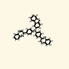 c1ccc2nc(-c3ccc(N(c4ccc(-c5cnc6ccccc6n5)cc4)c4ccc5sc6ccccc6c5c4)cc3)cnc2c1